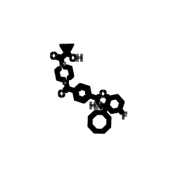 O=C(c1ccc(C2NC3(C4CCCCCCC4)CC(F)CCC3O2)cc1)N1CCN(C(=O)C2(O)CC2)CC1